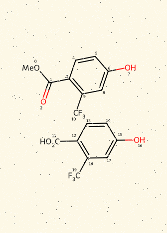 COC(=O)c1ccc(O)cc1C(F)(F)F.O=C(O)c1ccc(O)cc1C(F)(F)F